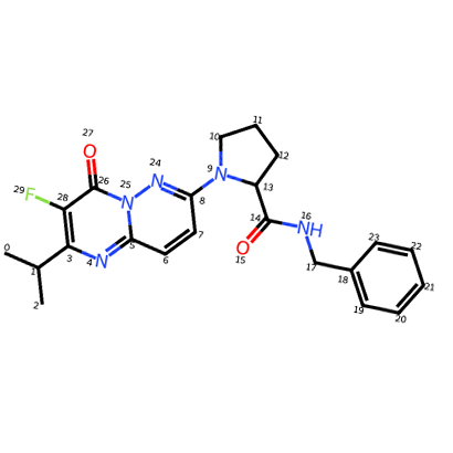 CC(C)c1nc2ccc(N3CCCC3C(=O)NCc3ccccc3)nn2c(=O)c1F